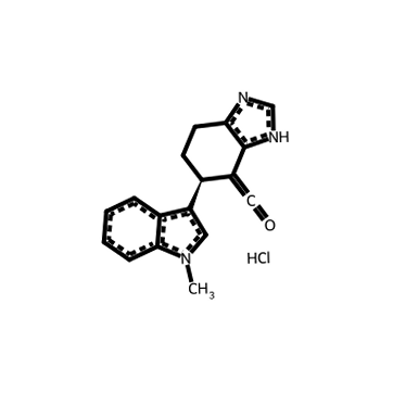 Cl.Cn1cc([C@H]2CCc3nc[nH]c3C2=C=O)c2ccccc21